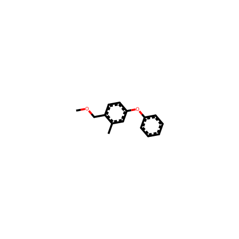 COCc1ccc(Oc2ccccc2)cc1C